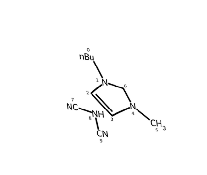 CCCCN1C=CN(C)C1.N#CNC#N